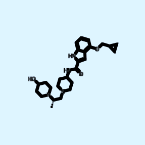 C[C@@H](CN1CCC(NC(=O)c2cc3c(OCC4CC4)cccc3[nH]2)CC1)N1CCC(O)CC1